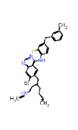 C=CCCC(CCNC=C)Cc1cc2c(Nc3ccc(Cc4cccc(C)c4)cc3F)ncnc2cc1CC